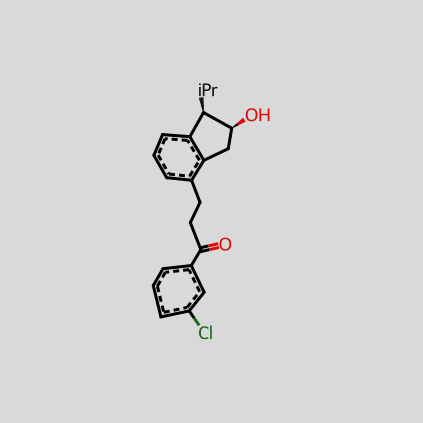 CC(C)[C@@H]1c2cccc(CCC(=O)c3cccc(Cl)c3)c2C[C@@H]1O